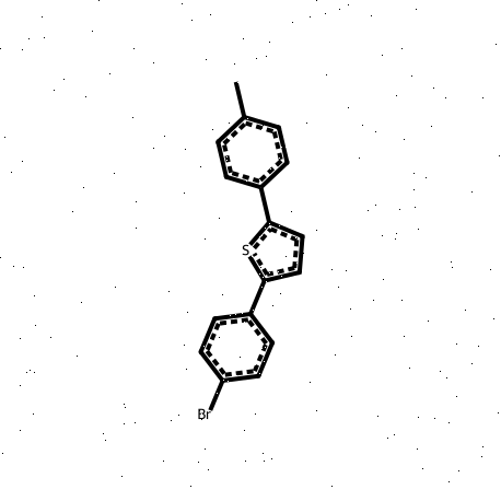 Cc1ccc(-c2ccc(-c3ccc(Br)cc3)s2)cc1